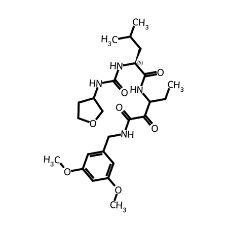 CCC(NC(=O)[C@H](CC(C)C)NC(=O)NC1CCOC1)C(=O)C(=O)NCc1cc(OC)cc(OC)c1